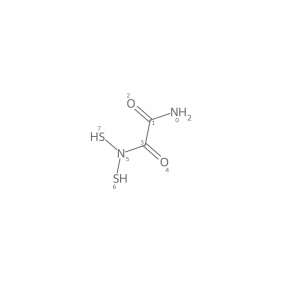 NC(=O)C(=O)N(S)S